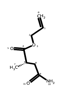 C=CCOC(=O)[C@@H](C)CC(N)=O